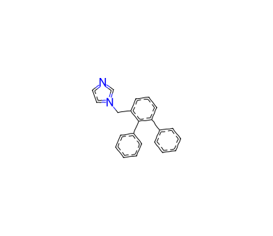 c1ccc(-c2cccc(Cn3ccnc3)c2-c2ccccc2)cc1